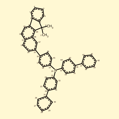 CC1(C)c2ccccc2-c2ccc3ccc(-c4ccc(N(c5ccc(-c6ccccc6)cc5)c5ccc(-c6ccccc6)cc5)cc4)cc3c21